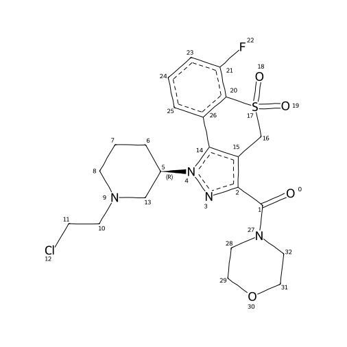 O=C(c1nn([C@@H]2CCCN(CCCl)C2)c2c1CS(=O)(=O)c1c(F)cccc1-2)N1CCOCC1